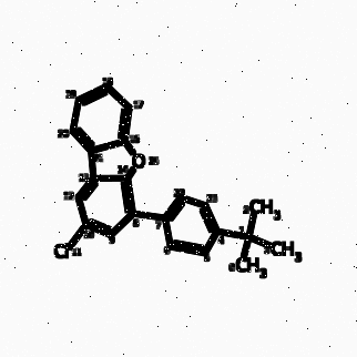 CC(C)(C)c1ccc(-c2cc(Cl)cc3c2oc2ccccc23)cc1